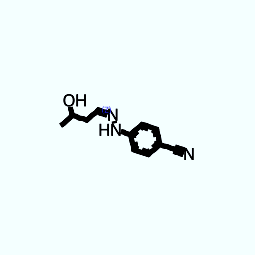 CC(O)C/C=N\Nc1ccc(C#N)cc1